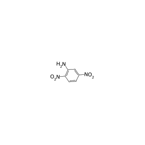 Nc1cc([N+](=O)[O-])ccc1[N+](=O)[O-]